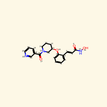 O=C(C=Cc1ccccc1O[C@@H]1CCCN(C(=O)c2cccnc2)C1)NO